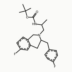 CC(CN1Cc2ccc(F)cc2CC1Cc1ccc(F)cc1)NC(=O)OC(C)(C)C